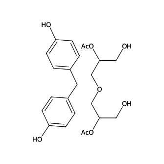 CC(=O)OC(CO)COCC(CO)OC(C)=O.Oc1ccc(Cc2ccc(O)cc2)cc1